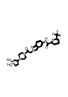 O=C(Nc1ccc2nn(CC(=O)N3CCN(C4CCS(O)(O)C4)CC3)cc2c1)c1cccc(C(F)(F)F)n1